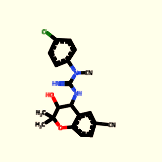 CC1(C)Oc2ccc(C#N)cc2C(NC(=N)N(C#N)c2ccc(Cl)cc2)C1O